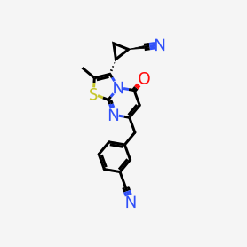 Cc1sc2nc(Cc3cccc(C#N)c3)cc(=O)n2c1[C@@H]1C[C@H]1C#N